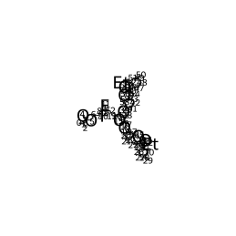 C=C(C)C(=O)OCCCC(F)(F)CCCOC(COc1ccc2cc(-c3ccc(C)cc3CC)c(=O)oc2c1)COc1ccc2cc(-c3ccc(C)cc3CC)c(=O)oc2c1